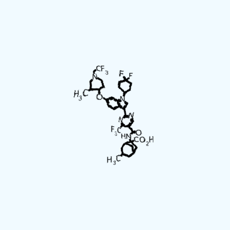 CC1CC2CC(C1)C(NC(=O)c1cnc(-c3cn(C4CCC(F)(F)CC4)c4cc(OC5CCN(CC(F)(F)F)CC5C)ccc34)nc1C(F)(F)F)(C(=O)O)C2